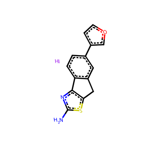 I.Nc1nc2c(s1)Cc1cc(-c3ccoc3)ccc1-2